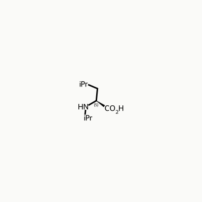 CC(C)C[C@H](NC(C)C)C(=O)O